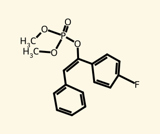 COP(=O)(OC)O/C(=C/c1ccccc1)c1ccc(F)cc1